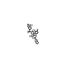 N=C1N(CC(=O)N2CC3CCCC3C2)c2ccc(F)c(Cl)c2C12CCN(C(=O)c1ccc3[nH]ncc3c1)CC2